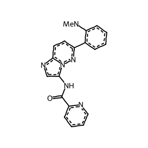 CNc1ccccc1-c1ccc2ncc(NC(=O)c3ccccn3)n2n1